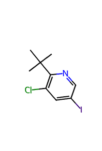 CC(C)(C)c1ncc(I)cc1Cl